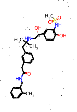 Cc1ccccc1CNC(=O)Cc1cccc(CC(C)(C)NC[C@H](O)c2ccc(O)c(NS(C)(=O)=O)c2)c1